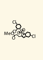 COC(=O)CCc1cc2cc(Cl)ccc2n1S(=O)(=O)c1ccc(Cl)cc1Cl